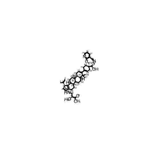 C=C(C)[C@@H]1CC[C@]2(NCC(O)C(=O)O)CC[C@]3(C)[C@H](CC[C@@H]4[C@@]5(C)CC=C(C6=CC[C@](COc7ncccc7C#N)(C(=O)O)CC6)C(C)(C)[C@@H]5CC[C@]43C)[C@@H]12